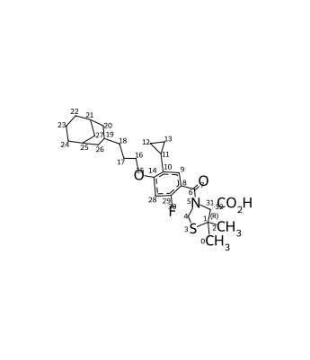 CC1(C)SCN(C(=O)c2cc(C3CC3)c(OCCCC3CC4CCCC(C3)C4)cc2F)[C@@H]1C(=O)O